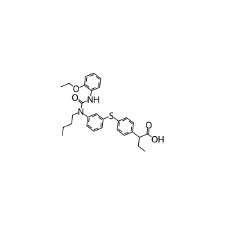 CCCCN(C(=O)Nc1ccccc1OCC)c1cccc(Sc2ccc(C(CC)C(=O)O)cc2)c1